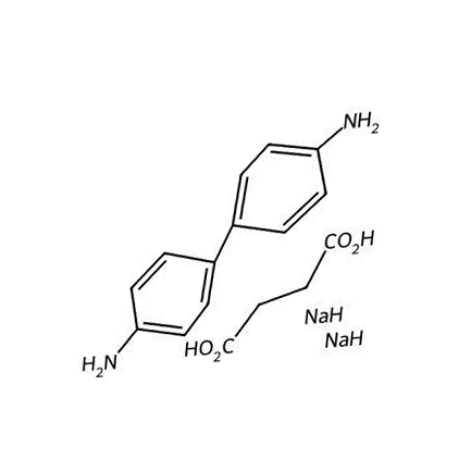 Nc1ccc(-c2ccc(N)cc2)cc1.O=C(O)CCC(=O)O.[NaH].[NaH]